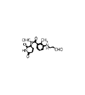 Cc1c(NCCC=O)cccc1C(=O)N(C=O)C1CCC(=O)NC1=O